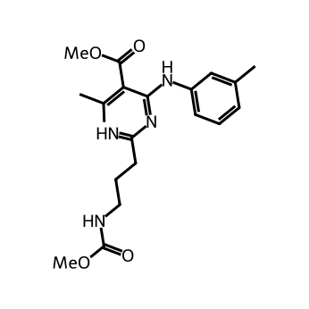 COC(=O)NCCCC(=N)/N=C(/Nc1cccc(C)c1)C(C(=O)OC)=C(C)C